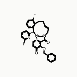 O=C1c2c(OCc3ccccc3)c(=O)ccn2N2CN1C/C=C/CCc1c(F)cccc1[C@@H]2c1cccc(F)n1